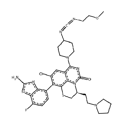 COCCN=C=NC1CCN(c2nc(=O)n3c4c(c(-c5ccc(F)c6sc(N)nc56)c(Cl)cc24)SC[C@@H]3CCN2CCCC2)CC1